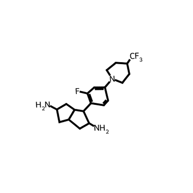 NC1CC2CC(N)C(c3ccc(N4CCC(C(F)(F)F)CC4)cc3F)C2C1